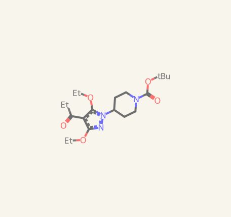 CCOc1nn(C2CCN(C(=O)OC(C)(C)C)CC2)c(OCC)c1C(=O)CC